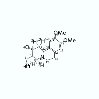 [2H]C1([2H])C(=O)C(CC(C)C)C([2H])([2H])N2CCc3cc(OC)c(OC)cc3C21